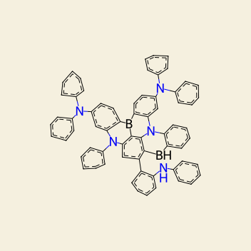 B1c2ccccc2N2c3cc(N(c4ccccc4)c4ccccc4)ccc3B3c4ccc(N(c5ccccc5)c5ccccc5)cc4N(c4ccccc4)c4cc(-c5ccccc5Nc5ccccc5)c1c2c43